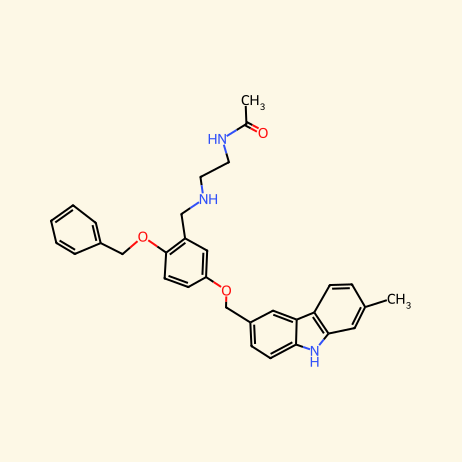 CC(=O)NCCNCc1cc(OCc2ccc3[nH]c4cc(C)ccc4c3c2)ccc1OCc1ccccc1